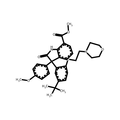 COC(=O)c1cccc2c1NC(=O)C2(c1ccc(OC)cc1)c1cc(C(C)(C)C)ccc1OCCN1CCOCC1